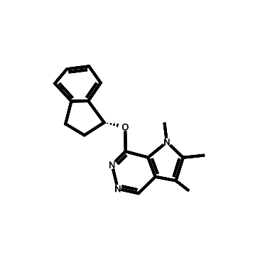 Cc1c(C)n(C)c2c(O[C@@H]3CCc4ccccc43)nncc12